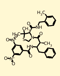 Cc1ccccc1CNC(=O)[C@H]1N(C(=O)[C@@H](C)C(Cc2ccccc2)NC(=O)c2cc([N+](=O)[O-])cc([N+](=O)[O-])c2)CSC1(C)C